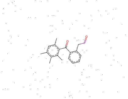 Cc1cc(C)c(C(=O)c2ccccc2CP=O)c(C)c1C